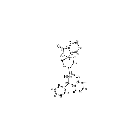 O=C1O[C@]2(CC[C@H](C(=O)NC(c3ccccc3)c3ccccc3)CC2)c2ccccc21